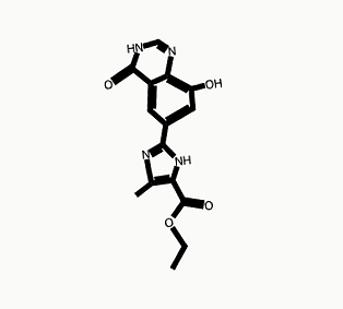 CCOC(=O)c1[nH]c(-c2cc(O)c3nc[nH]c(=O)c3c2)nc1C